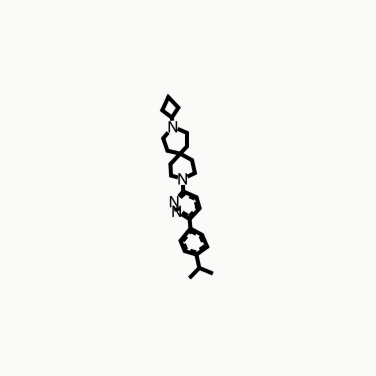 CC(C)c1ccc(-c2ccc(N3CCC4(CC3)CCN(C3CCC3)CC4)nn2)cc1